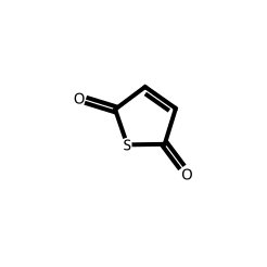 O=C1C=CC(=O)S1